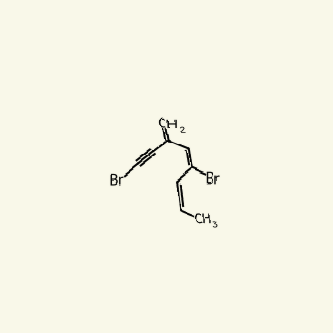 C=C(C#CBr)/C=C(Br)\C=C/C